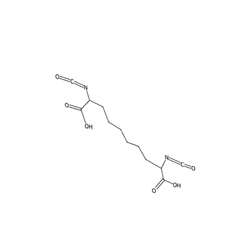 O=C=NC(CCCCCCC(N=C=O)C(=O)O)C(=O)O